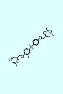 C=C(C)O[C@@H](CCl)COc1ccc(C(C)(C)c2ccc(OC[C@H](COC)OC(C)=O)cc2)cc1C